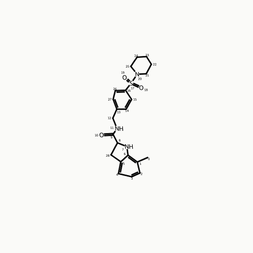 Cc1cccc2c1NC(C(=O)NCc1ccc(S(=O)(=O)N3CCCCC3)cc1)C2